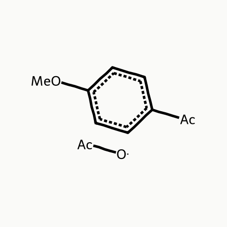 CC([O])=O.COc1ccc(C(C)=O)cc1